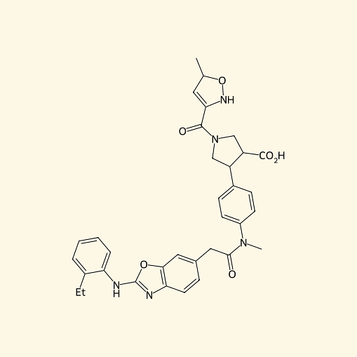 CCc1ccccc1Nc1nc2ccc(CC(=O)N(C)c3ccc(C4CN(C(=O)C5=CC(C)ON5)CC4C(=O)O)cc3)cc2o1